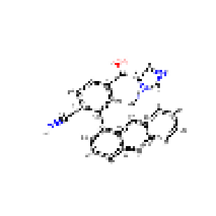 Cn1cncc1C(O)c1ccc(C#N)c(-c2cccc3cc4ccccc4cc23)c1